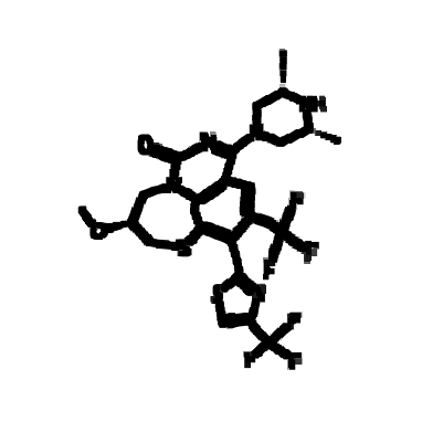 CO[C@@H]1CSc2c(-c3nc(C(F)(F)F)cs3)c(C(F)(F)F)cc3c(N4C[C@@H](C)N[C@@H](C)C4)nc(=O)n(c23)C1